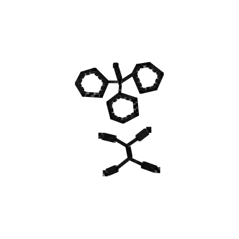 N#CC(C#N)=C(C#N)C#N.O=P(c1ccccc1)(c1ccccc1)c1ccccc1